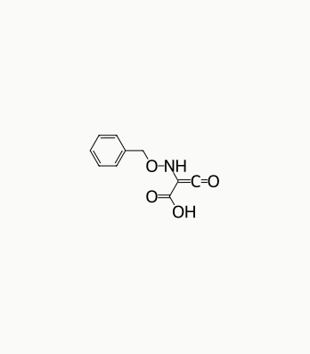 O=C=C(NOCc1ccccc1)C(=O)O